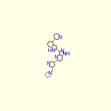 c1cncc(-c2cccc3[nH]c(-c4n[nH]c5ccc(-c6cncc(CN7CCCC7)c6)nc45)cc23)c1